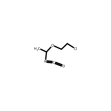 CC(N=C=O)OCCCl